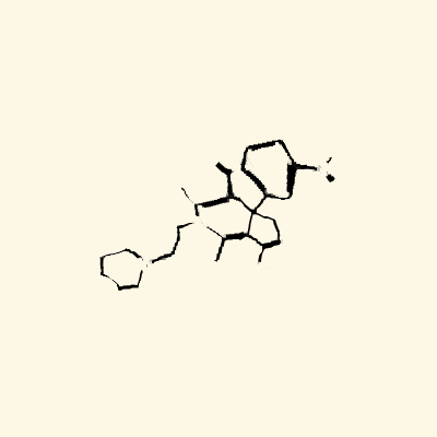 CCC1(c2cccc([N+](=O)[O-])c2)C(C(=O)O)=C(C)N(CCN2CCCCC2)C(C)=C1C(=O)O